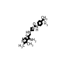 Cc1nnc2sc(CNC3CN(C(=O)Nc4ccc(C(C)C)cc4)C3)c(N)c2c1C